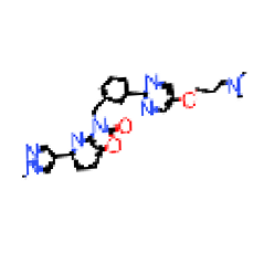 CN(C)CCCOc1cnc(-c2cccc(Cn3c(=O)oc4ccc(-c5cnn(C)c5)nc43)c2)nc1